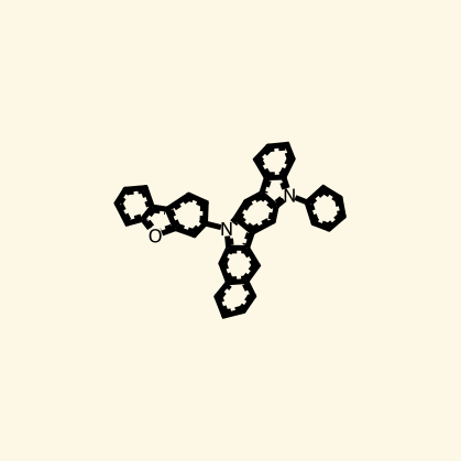 c1ccc(-n2c3ccccc3c3cc4c(cc32)c2cc3ccccc3cc2n4-c2ccc3c(c2)oc2ccccc23)cc1